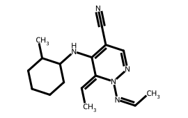 CC=C1C(NC2CCCCC2C)=C(C#N)C=NN1/N=C\C